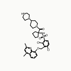 Cc1cc(C)c2cccc(OCc3c(Cl)ccc(S(=O)(=O)NC4(C(=O)N5CCC(N6CCNCC6)CC5)CCCC4)c3Cl)c2n1